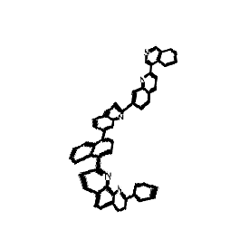 C1=Cc2c(cncc2-c2ccc3ccc(-c4ccc5ccc(-c6ccc(-c7ccc8ccc9c(c8n7)N=C(c7ccccc7)CC9)c7ccccc67)cc5n4)cc3n2)CC1